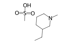 CCC1CCCN(C)C1.CS(=O)(=O)O